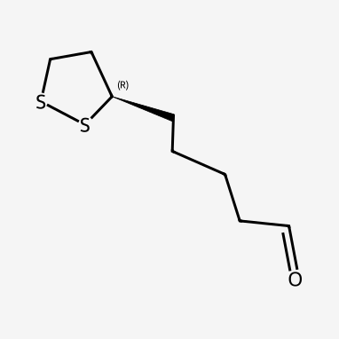 O=CCCCC[C@@H]1CCSS1